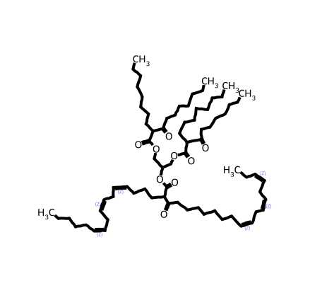 CC/C=C\C/C=C\C/C=C\CCCCCCCC(=O)C(CCC/C=C\C/C=C\C/C=C\CCCCC)C(=O)OC(COC(=O)C(CCCCCCCC)C(=O)CCCCCCC)COC(=O)C(CCCCCCCC)C(=O)CCCCCCC